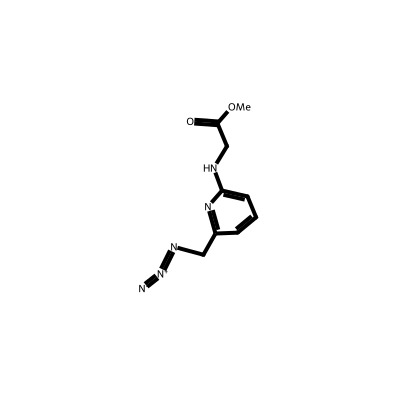 COC(=O)CNc1cccc(CN=[N+]=[N-])n1